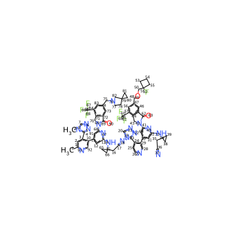 Cc1cc(-c2nncn2C)c(-c2cc(NC3(CC#[N+]n4cnnc4-c4ccncc4-c4cc(NC5(CC#N)CC5)nc(N5Cc6c(cc(COCC7(F)CCC7)cc6C(F)(F)F)C5=O)c4)CC3)nc(N3Cc4c(cc(CN5CCC6(CC6)C5)cc4C(F)(F)F)C3=O)c2)cn1